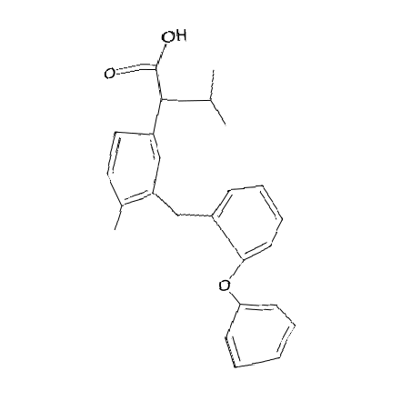 Cc1ccc(C(C(=O)O)C(C)C)cc1Cc1ccccc1Oc1ccccc1